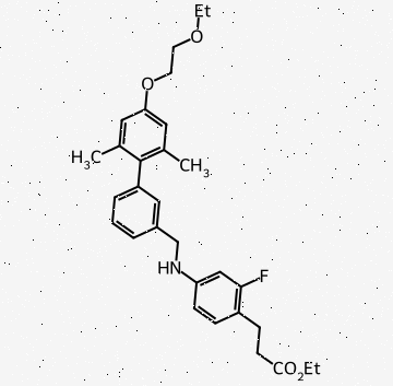 CCOCCOc1cc(C)c(-c2cccc(CNc3ccc(CCC(=O)OCC)c(F)c3)c2)c(C)c1